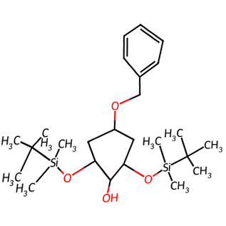 CC(C)(C)[Si](C)(C)OC1CC(OCc2ccccc2)CC(O[Si](C)(C)C(C)(C)C)C1O